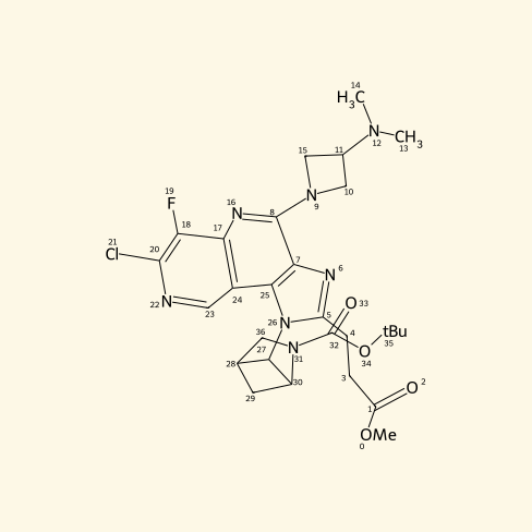 COC(=O)CCc1nc2c(N3CC(N(C)C)C3)nc3c(F)c(Cl)ncc3c2n1C1C2CC1N(C(=O)OC(C)(C)C)C2